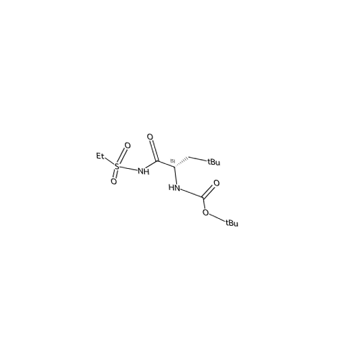 CCS(=O)(=O)NC(=O)[C@H](CC(C)(C)C)NC(=O)OC(C)(C)C